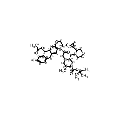 CC(=O)OCc1nc2c(cc1Cc1ccc(F)cc1)N(C(=O)CN1C[C@@H](C)N(C(=O)OC(C)(C)C)C[C@@H]1CN1CCOCC1C1CC1)[C@@H](C)CO2